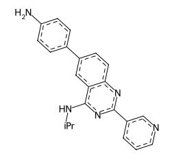 CC(C)Nc1nc(-c2cccnc2)nc2ccc(-c3ccc(N)cc3)cc12